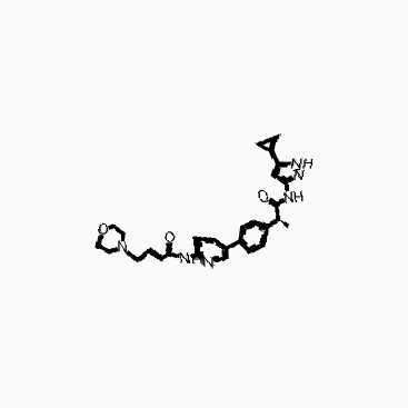 C[C@H](C(=O)Nc1cc(C2CC2)[nH]n1)c1ccc(-c2ccc(NC(=O)/C=C/CN3CCOCC3)nc2)cc1